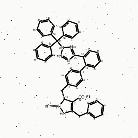 CCCN1NC(Cc2ccccc2)=C(C(=O)OCC)C1Cc1ccc(-c2ccccc2-c2nnn(C(c3ccccc3)(c3ccccc3)c3ccccc3)n2)cc1